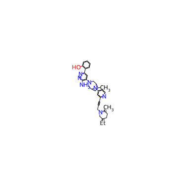 CC[C@@H]1CC[C@H](C)N(CC#Cc2cc(N3C4CC(C)C3CN(c3cc(-c5ccccc5O)nnc3N)C4)ccn2)C1